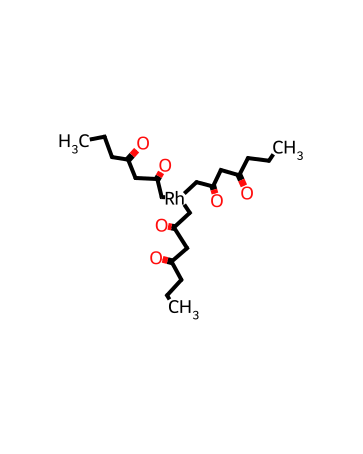 CCCC(=O)CC(=O)[CH2][Rh]([CH2]C(=O)CC(=O)CCC)[CH2]C(=O)CC(=O)CCC